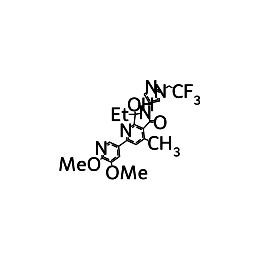 CCC1(O)c2nc(-c3cnc(OC)c(OC)c3)cc(C)c2C(=O)N1c1cnn(CC(F)(F)F)c1